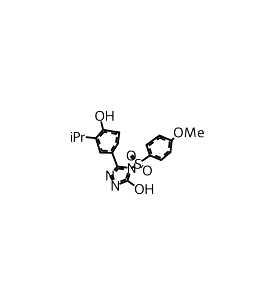 COc1ccc(S(=O)(=O)n2c(O)nnc2-c2ccc(O)c(C(C)C)c2)cc1